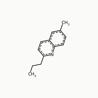 CCCc1ccc2cc(C)ccc2n1